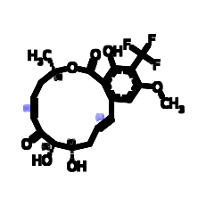 COc1cc2c(c(O)c1C(F)(F)F)C(=O)O[C@@H](C)C/C=C\C(=O)[C@@H](O)[C@@H](O)C/C=C/2